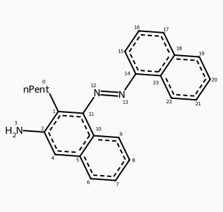 CCCCCc1c(N)cc2ccccc2c1N=Nc1cccc2ccccc12